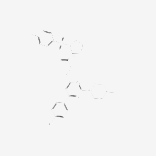 CCOC(=O)C1CCN(c2nc(CNC(=O)[C@@H]3CCCN3S(=O)(=O)c3ccc(F)cc3)cc(-c3ccc(Br)cc3)n2)CC1